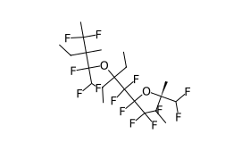 CCC(CC)(OC(F)(C(F)F)C(C)(CC)C(C)(F)F)C(F)(F)C(F)(O[C@@](C)(CC)C(F)F)C(F)(F)F